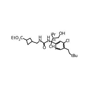 CCOC(=O)C1CC(CNC(=O)NC(C)(c2ccc(CCC(C)(C)C)c(Cl)c2)[C@H](CO)C(C)C)C1